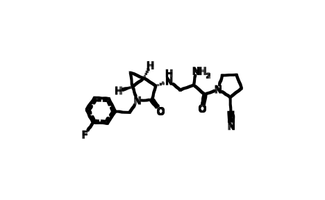 N#CC1CCCN1C(=O)C(N)CN[C@@H]1C(=O)N(Cc2cccc(F)c2)[C@@H]2C[C@@H]12